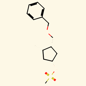 C[C@H]1C[C@@H](OS(C)(=O)=O)C[C@H]1COCc1ccccc1